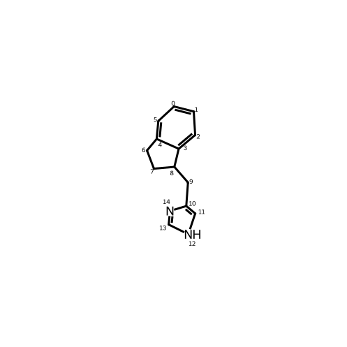 c1ccc2c(c1)CCC2Cc1c[nH]cn1